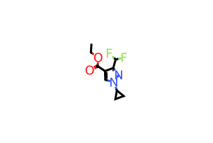 CCOC(=O)c1cn(C2CC2)nc1C(F)F